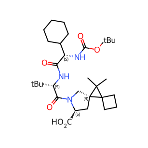 CC(C)(C)OC(=O)N[C@H](C(=O)N[C@H](C(=O)N1C[C@]2(C[C@H]1C(=O)O)C(C)(C)C21CCC1)C(C)(C)C)C1CCCCC1